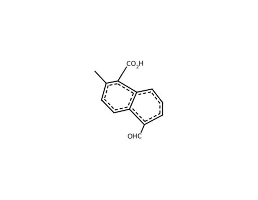 Cc1ccc2c(C=O)cccc2c1C(=O)O